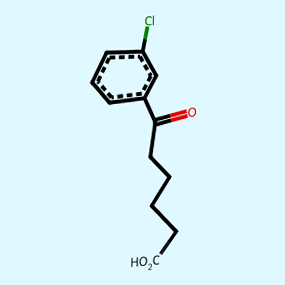 O=C(O)CCCCC(=O)c1cccc(Cl)c1